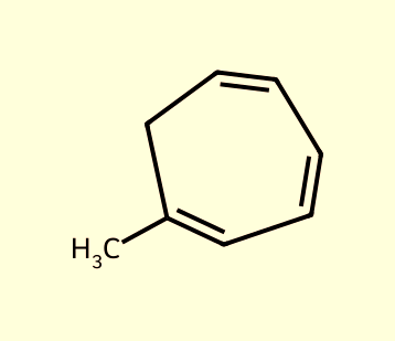 CC1=CC=CC=CC1